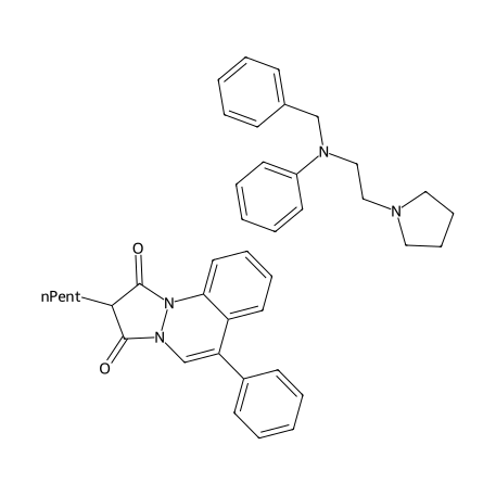 CCCCCC1C(=O)N2C=C(c3ccccc3)c3ccccc3N2C1=O.c1ccc(CN(CCN2CCCC2)c2ccccc2)cc1